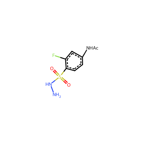 CC(=O)Nc1ccc(S(=O)(=O)NN)c(F)c1